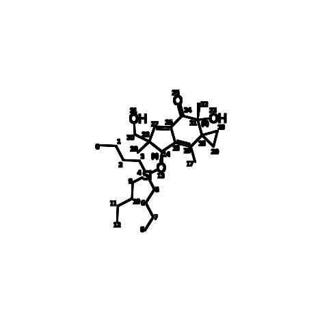 CCCC[Si](CCCC)(CCCC)O[C@@H]1C2=C(C)C3(CC3)[C@@](C)(O)C(=O)C2=CC1(C)CO